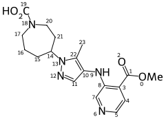 COC(=O)c1ccncc1Nc1cnn(C2CCCN(C(=O)O)CC2)c1C